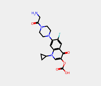 NCC(=O)N1CCN(c2cc3c(cc2F)c(=O)c(OC(=O)O)cn3C2CC2)CC1